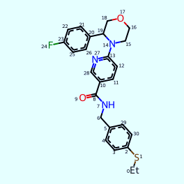 CCSc1ccc(CNC(=O)c2ccc(N3CCOCC3c3ccc(F)cc3)nc2)cc1